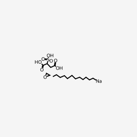 C1CO1.CCCCCCCCCCC[CH2][Na].O=C(O)CC(C(=O)O)S(=O)(=O)O